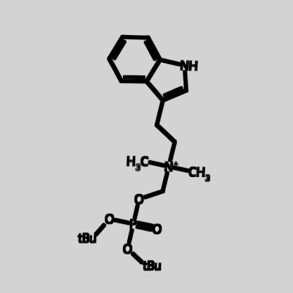 CC(C)(C)OP(=O)(OC[N+](C)(C)CCc1c[nH]c2ccccc12)OC(C)(C)C